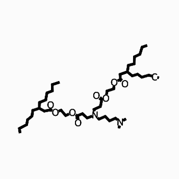 CCCCCCC(CCCCCC)CC(=O)OCCOC(=O)CCN(CCCCN(C)C)CCC(=O)OCCOC(=O)CC(CCCCCC)CCCCCC